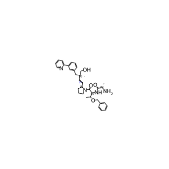 CC(OCc1ccccc1)[C@H](NC(=O)[C@H](C)N)C(=O)N1CCC[C@H]1/C=C/[C@](C)(CO)Cc1cccc(-c2ccccn2)c1